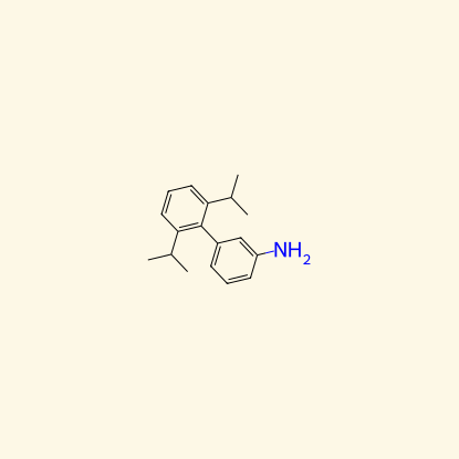 CC(C)c1cccc(C(C)C)c1-c1cccc(N)c1